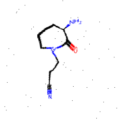 N#CCCN1CCC[C@@H](N)C1=O